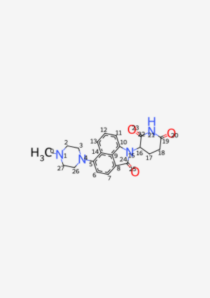 CN1CCN(c2ccc3c4c(cccc24)N(C2CCC(=O)NC2=O)C3=O)CC1